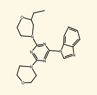 CCC1CN(c2nc(N3CCOCC3)nc(-n3cnc4ccccc43)n2)CCO1